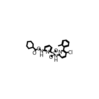 Cc1ccccc1-c1nc(NS(=O)(=O)c2cccc(NOC(=O)C3CCCCC3)n2)ccc1Cl